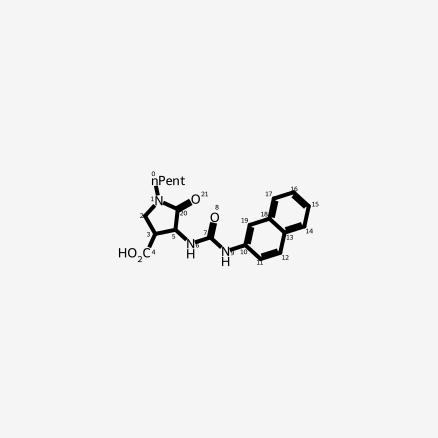 CCCCCN1CC(C(=O)O)C(NC(=O)Nc2ccc3ccccc3c2)C1=O